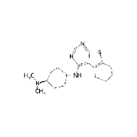 CN(C)[C@H]1CC[C@H](Nc2ncnc3sc4c(c23)CCCC4)CC1